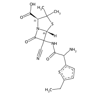 CCc1ccc(C(N)C(=O)NC2(C#N)C(=O)N3[C@@H](C(=O)O)C(C)(C)S[C@@H]32)s1